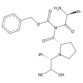 CC(C)[C@@H](C(O)C#N)N1CCC[C@H]1C(=O)N(C(=O)OCc1ccccc1)C(=O)[C@@H](N)C(C)C